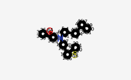 c1cc(-c2cccc(N(c3ccc(-c4cccc5sc6ccccc6c45)cc3)c3ccc4c(c3)oc3ccccc34)c2)cc(-c2cccc3ccccc23)c1